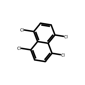 Clc1[c]cc(Cl)c2c(Cl)[c]cc(Cl)c12